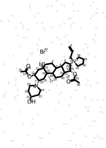 C=CC[N+]1([C@H]2CC3C4CC[C@H]5C[C@H](OC(C)=O)[C@@H](N6CCC(O)CC6)C[C@]5(C)C4CC[C@]3(C)[C@H]2OC(C)=O)CCCC1.[Br-]